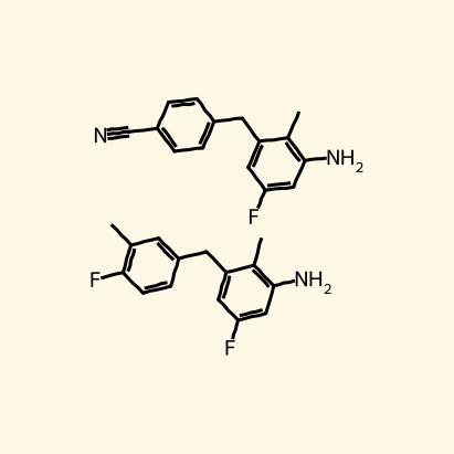 Cc1c(N)cc(F)cc1Cc1ccc(C#N)cc1.Cc1cc(Cc2cc(F)cc(N)c2C)ccc1F